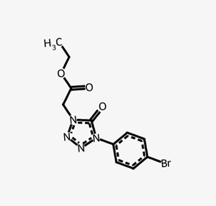 CCOC(=O)Cn1nnn(-c2ccc(Br)cc2)c1=O